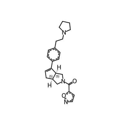 O=C(c1ccno1)N1C[C@H]2CC=C(c3ccc(CCN4CCCC4)cc3)[C@H]2C1